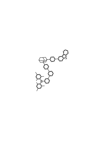 Cc1cc(C)c(B(c2cccc(-c3cccc(-c4ccc(C56CC7CC(C5)CC(c5ccc(-c8ccc9sc%10ccccc%10c9c8)cc5)(C7)C6)cc4)c3)c2)c2c(C)cc(C)cc2C)c(C)c1